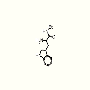 CCNC(=O)C(N)CC1CNc2ccccc21